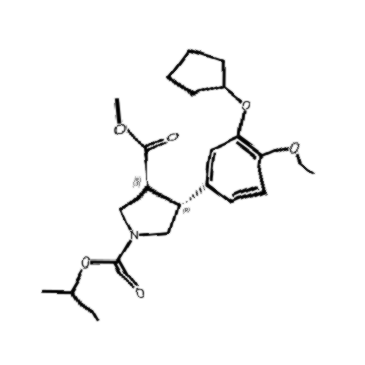 COC(=O)[C@@H]1CN(C(=O)OC(C)C)C[C@H]1c1ccc(OC)c(OC2CCCC2)c1